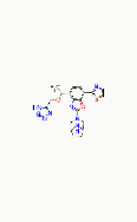 FC(F)(F)C(OCc1nnn[nH]1)c1ccc(-c2nccs2)c2oc(N3CC4CCC(C3)N4)nc12